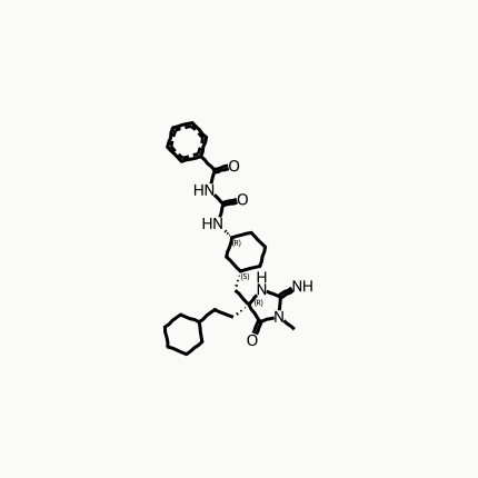 CN1C(=N)N[C@](CCC2CCCCC2)(C[C@H]2CCC[C@@H](NC(=O)NC(=O)c3ccccc3)C2)C1=O